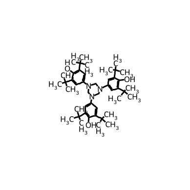 CC(C)(C)c1cc(N2CN(c3cc(C(C)(C)C)c(O)c(C(C)(C)C)c3)CN(c3cc(C(C)(C)C)c(O)c(C(C)(C)C)c3)C2)cc(C(C)(C)C)c1O